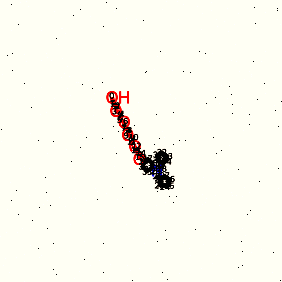 OCCOCCOCCOCCOCCO[C@H]1CC[C@H](N(Cc2ccccc2)Cc2ccccc2)CC1